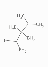 BC(F)C(B)(B)C(C)C